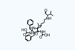 CC(C)C(C=O)NCCCCCCC(Cc1ccccc1)C(Cc1ccccc1)(NC(=O)O)NC(C(=O)NC(=O)O)C(C)C